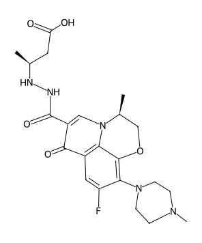 C[C@@H](CC(=O)O)NNC(=O)c1cn2c3c(c(N4CCN(C)CC4)c(F)cc3c1=O)OC[C@@H]2C